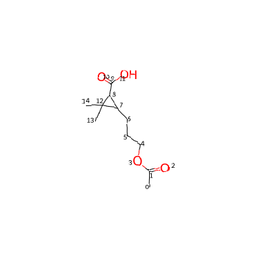 CC(=O)OCCCC1C(C(=O)O)C1(C)C